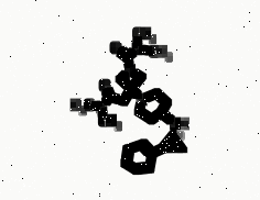 CN(C)C(=O)CC1(N2CCC(N[C@@H]3CC3c3ccccc3)CC2)CN(C(=O)N(C)C)C1